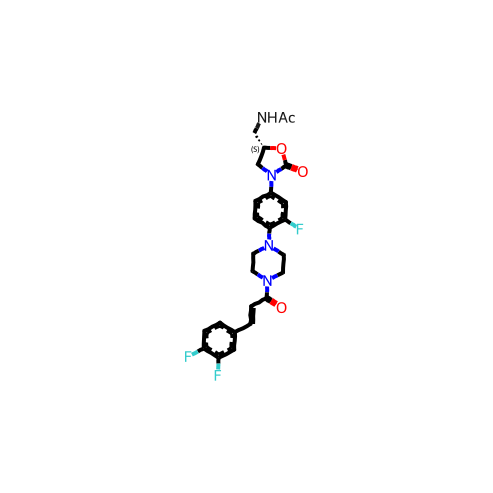 CC(=O)NC[C@H]1CN(c2ccc(N3CCN(C(=O)C=Cc4ccc(F)c(F)c4)CC3)c(F)c2)C(=O)O1